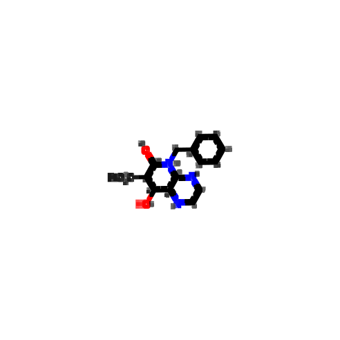 CCOC(=O)c1c(O)c2nccnc2n(Cc2ccccc2)c1=O